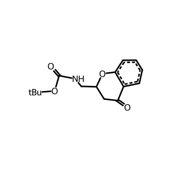 CC(C)(C)OC(=O)NCC1CC(=O)c2ccccc2O1